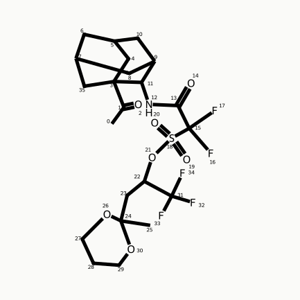 CC(=O)C12CC3CC(CC(C3)C1NC(=O)C(F)(F)S(=O)(=O)OC(CC1(C)OCCCO1)C(F)(F)F)C2